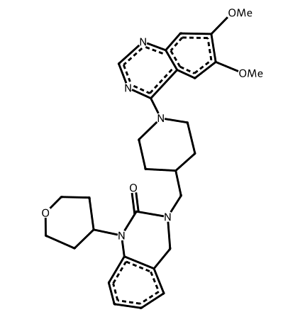 COc1cc2ncnc(N3CCC(CN4Cc5ccccc5N(C5CCOCC5)C4=O)CC3)c2cc1OC